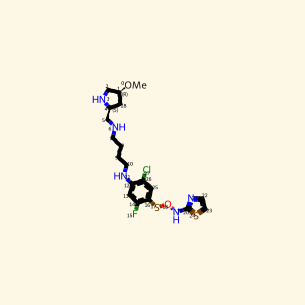 CO[C@H]1CN[C@H](CNCCCCNc2cc(F)c(SONc3nccs3)cc2Cl)C1